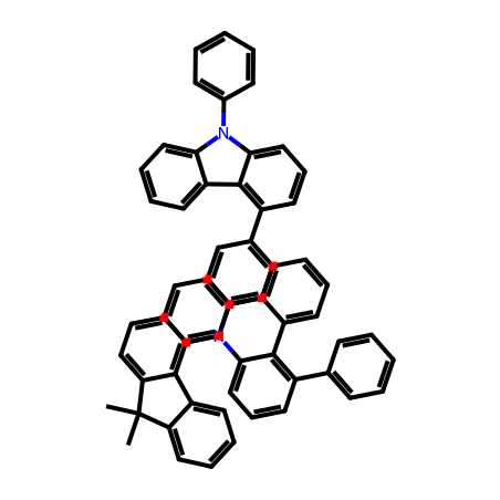 CC1(C)c2ccccc2-c2c(N(c3ccc(-c4cccc5c4c4ccccc4n5-c4ccccc4)cc3)c3cccc(-c4ccccc4)c3-c3ccccc3-c3ccccc3)cccc21